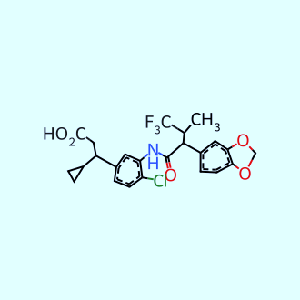 CC(C(C(=O)Nc1cc(C(CC(=O)O)C2CC2)ccc1Cl)c1ccc2c(c1)OCO2)C(F)(F)F